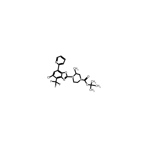 CC1CN(C(=O)OC(C)(C)C)CCN1c1nc2c(C(F)(F)F)c(Cl)cc(-c3ccccn3)c2o1